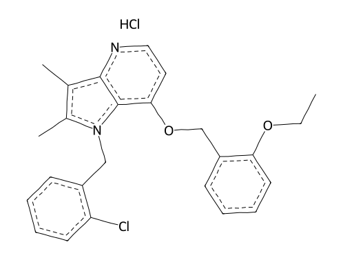 CCOc1ccccc1COc1ccnc2c(C)c(C)n(Cc3ccccc3Cl)c12.Cl